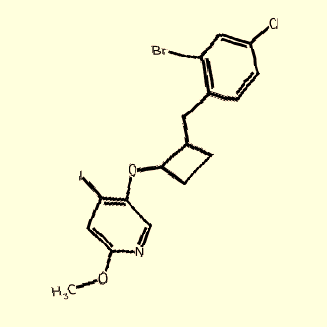 COc1cc(I)c(OC2CCC2Cc2ccc(Cl)cc2Br)cn1